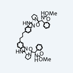 COC(=O)N[C@@H](C(=O)N1CCC[C@H]1c1nc2cc(CCCc3ccc4nc([C@@H]5CCCN5C(=O)[C@H](NC(=O)OC)c5ccccc5)[nH]c4c3)ccc2[nH]1)c1ccccc1